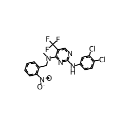 CN(Cc1ccccc1[N+](=O)[O-])c1nc(Nc2ccc(Cl)c(Cl)c2)ncc1C(F)(F)F